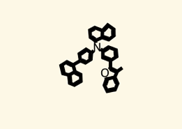 Cc1c(-c2cccc(N(c3ccc(-c4cccc5ccccc45)cc3)c3cccc4ccccc34)c2)oc2ccccc12